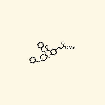 COC(=O)/C=C/c1ccc2c(c1)C(=O)N(Cc1ccccc1)C1(CCN(Cc3ccccc3)CC1)O2